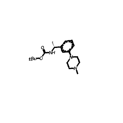 C[C@@H](NC(=O)OC(C)(C)C)c1cccc(N2CCN(C)CC2)c1